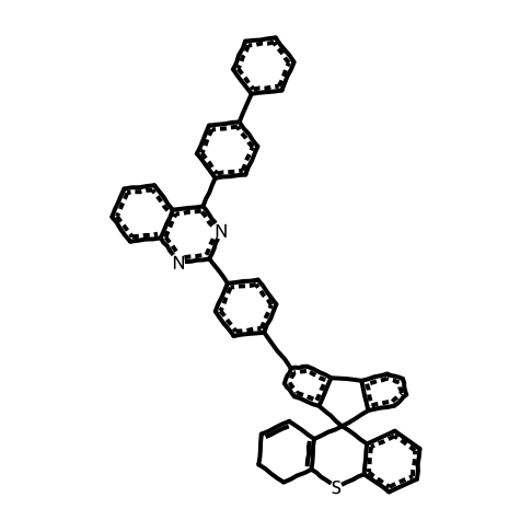 C1=CC2=C(CC1)Sc1ccccc1C21c2ccccc2-c2cc(-c3ccc(-c4nc(-c5ccc(-c6ccccc6)cc5)c5ccccc5n4)cc3)ccc21